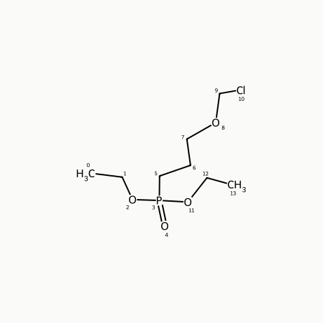 CCOP(=O)(CCCOCCl)OCC